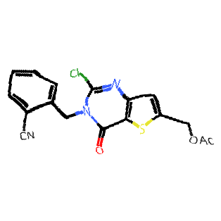 CC(=O)OCc1cc2nc(Cl)n(Cc3ccccc3C#N)c(=O)c2s1